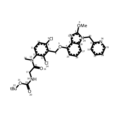 COc1nc2c(OCc3c(Cl)ccc(N(C)C(=O)CNC(=O)OC(C)(C)C)c3Cl)cccc2n1Cc1ccccn1